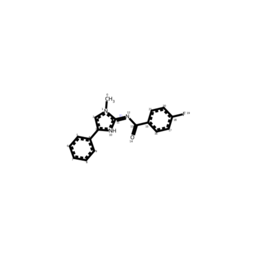 Cn1cc(-c2ccccc2)[nH]/c1=N\C(=O)c1ccc(F)cc1